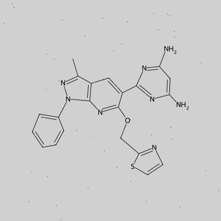 Cc1nn(-c2ccccc2)c2nc(OCc3nccs3)c(-c3nc(N)cc(N)n3)cc12